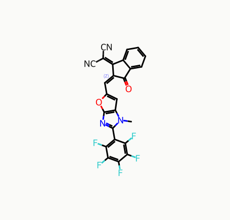 Cn1c(-c2c(F)c(F)c(F)c(F)c2F)nc2oc(/C=C3\C(=O)c4ccccc4C3=C(C#N)C#N)cc21